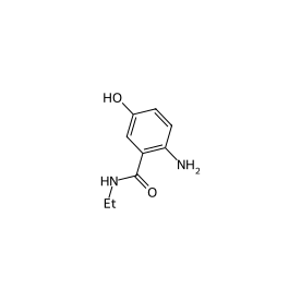 CCNC(=O)c1cc(O)ccc1N